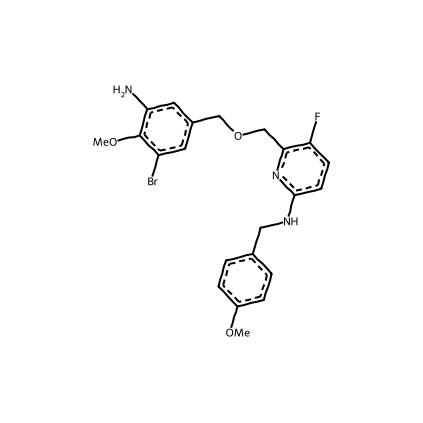 COc1ccc(CNc2ccc(F)c(COCc3cc(N)c(OC)c(Br)c3)n2)cc1